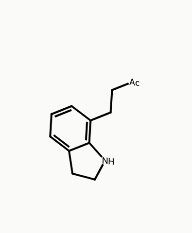 CC(=O)CCc1cccc2c1NCC2